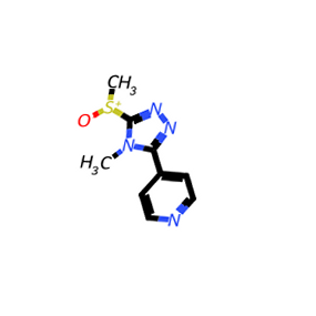 Cn1c(-c2ccncc2)nnc1[S+](C)[O-]